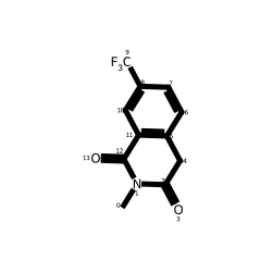 CN1C(=O)Cc2ccc(C(F)(F)F)cc2C1=O